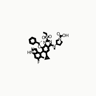 CCS(=O)(=O)c1nc(N(C)[C@H]2CCN(C(=O)O)C2)c2cc(C3CC3)c(-c3c(C)c(F)cc4[nH]ncc34)c(O[C@@H](C)c3ccccc3)c2n1